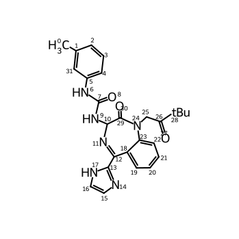 Cc1cccc(NC(=O)NC2N=C(c3ncc[nH]3)c3ccccc3N(CC(=O)C(C)(C)C)C2=O)c1